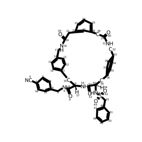 N#Cc1ccc(CNC(=O)[C@@H]2Cc3ccc(cc3)CNC(=O)Cc3cccc(c3)CC(=O)NCc3ccc(cc3)C[C@@H](NS(=O)(=O)Cc3ccccc3)C(=O)N2)cc1